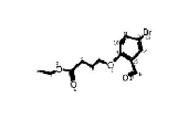 CCOC(=O)CCCOc1ccc(Br)cc1C=O